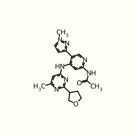 CC(=O)Nc1cc(Nc2cc(C)nc(C3CCOC3)n2)c(-c2ccn(C)n2)cn1